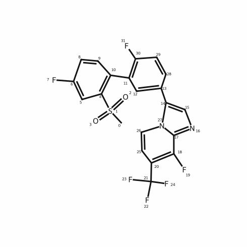 CS(=O)(=O)c1cc(F)ccc1-c1cc(-c2cnc3c(F)c(C(F)(F)F)ccn23)ccc1F